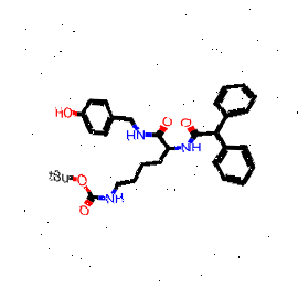 CC(C)(C)OC(=O)NCCCCC(NC(=O)C(c1ccccc1)c1ccccc1)C(=O)NCc1ccc(O)cc1